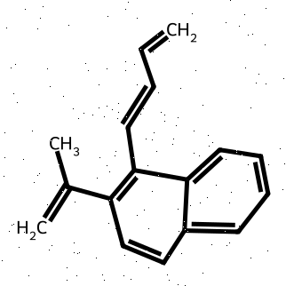 C=CC=Cc1c(C(=C)C)ccc2ccccc12